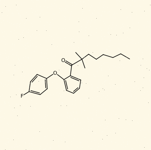 CCCCCCC(C)(C)C(=O)c1ccccc1Oc1ccc(F)cc1